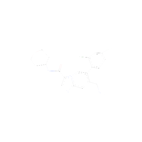 NCc1cc2ncc(C(=O)NC3CCOCC3)n2cc1-c1ccc(Cl)cc1Cl